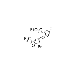 CCOC(=O)Cc1cc(F)ccc1OCc1cc(Br)c2occ(C(F)(F)F)c2c1